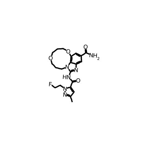 Cc1cc(C(=O)Nc2nc3cc(C(N)=O)cc4c3n2CCCOCCCO4)n(CCF)n1